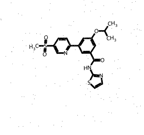 CC(C)Oc1cc(C(=O)Nc2nccs2)cc(-c2ccc(S(C)(=O)=O)cn2)c1